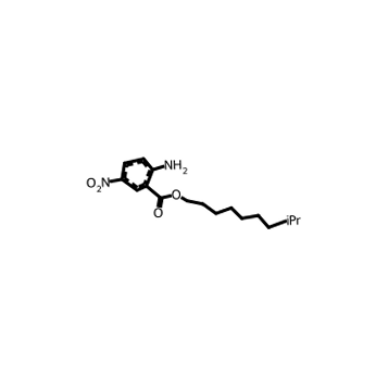 CC(C)CCCCCCCOC(=O)c1cc([N+](=O)[O-])ccc1N